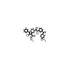 CN1CCC(C(=O)c2cccc(NC(=O)N3CCn4c(c(C(N)=O)c(Cl)c4-c4ccccc4)C3)c2)CC1